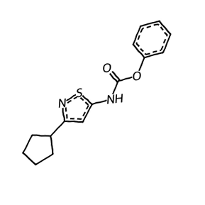 O=C(Nc1cc(C2CCCC2)ns1)Oc1ccccc1